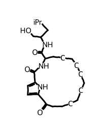 CC(C)CC(CO)NC(=O)C1CCCCCCCCCCCC(=O)c2ccc([nH]2)C(=O)N1